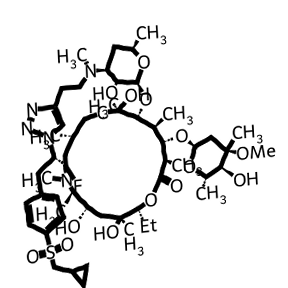 CC[C@H]1OC(=O)[C@H](C)[C@@H](O[C@H]2C[C@@](C)(OC)[C@@H](O)[C@H](C)O2)[C@H](C)[C@@H](O[C@@H]2O[C@H](C)C[C@H](N(C)CCc3cn([C@H](CF)Cc4ccc(S(=O)(=O)CC5CC5)cc4)nn3)[C@H]2O)[C@](C)(O)CC[C@@H](C)CN(C)[C@H](C)[C@@H](O)C[C@]1(C)O